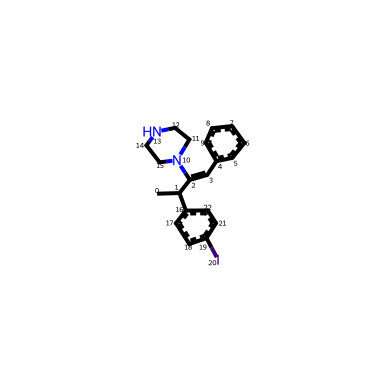 CC(C(=Cc1ccccc1)N1CCNCC1)c1ccc(I)cc1